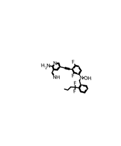 CCCC(F)(F)c1ccccc1CN(O)c1ccc(F)c(C#Cc2cnc(N)c(C=N)c2)c1F